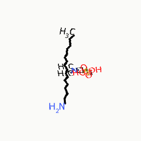 CCCCCCCCCCCCCCCCCCN.CN(C)C.O=S(=O)(O)O